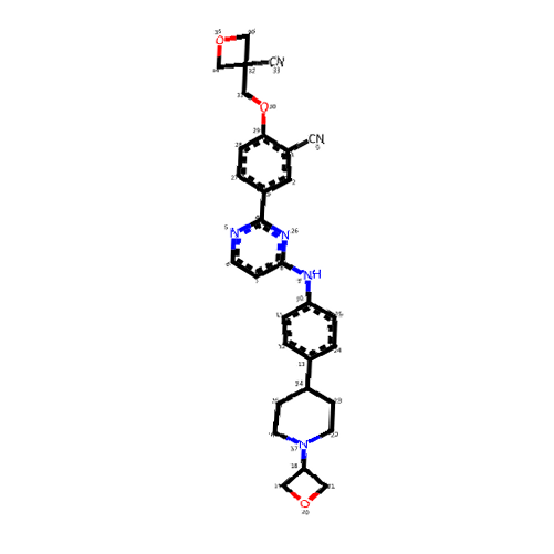 N#Cc1cc(-c2nccc(Nc3ccc(C4CCN(C5COC5)CC4)cc3)n2)ccc1OCC1(C#N)COC1